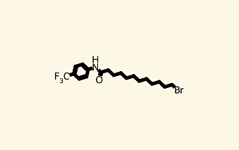 O=C(CCCCCCCCCCCBr)Nc1ccc(C(F)(F)F)cc1